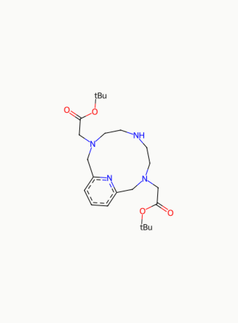 CC(C)(C)OC(=O)CN1CCNCCN(CC(=O)OC(C)(C)C)Cc2cccc(n2)C1